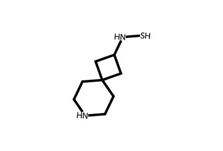 SNC1CC2(CCNCC2)C1